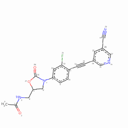 CC(=O)NCC1CN(c2ccc(C#Cc3cncc(C#N)c3)c(F)c2)C(=O)O1